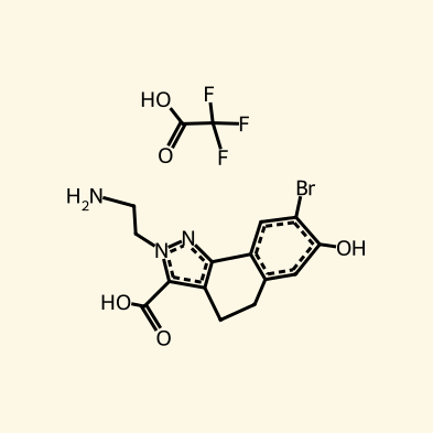 NCCn1nc2c(c1C(=O)O)CCc1cc(O)c(Br)cc1-2.O=C(O)C(F)(F)F